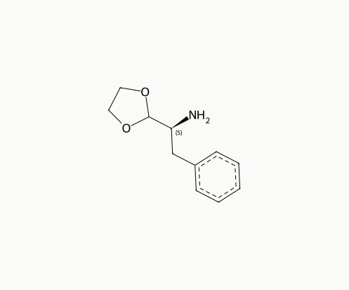 N[C@@H](Cc1ccccc1)C1OCCO1